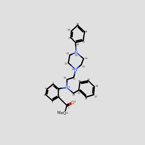 COC(=O)c1ccccc1N(CCN1CCN(c2ccccc2)CC1)Cc1ccccc1